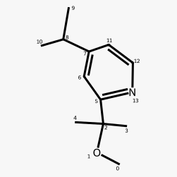 COC(C)(C)c1cc(C(C)C)ccn1